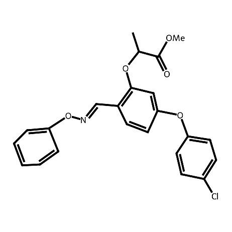 COC(=O)C(C)Oc1cc(Oc2ccc(Cl)cc2)ccc1C=NOc1ccccc1